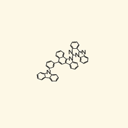 c1cc(-c2cc3c4ccccc4n(-c4nc5ccccc5c5nc6ccccc6n45)c3c3ccccc23)cc(-n2c3ccccc3c3ccccc32)c1